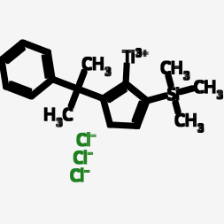 CC(C)(C1=[C]([Ti+3])C([Si](C)(C)C)=CC1)c1ccccc1.[Cl-].[Cl-].[Cl-]